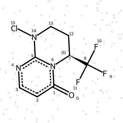 O=c1ccnc2n1[C@H](C(F)(F)F)CCN2Cl